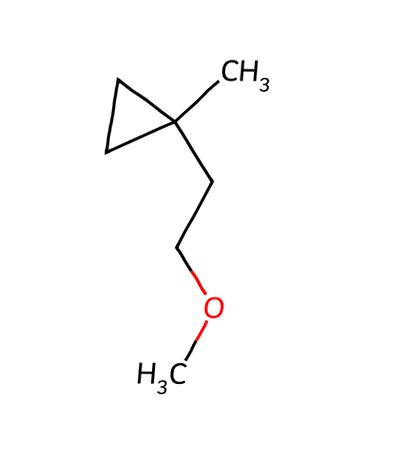 COCCC1(C)CC1